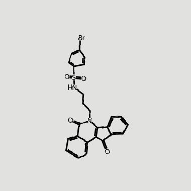 O=C1c2ccccc2-c2c1c1ccccc1c(=O)n2CCCNS(=O)(=O)c1ccc(Br)cc1